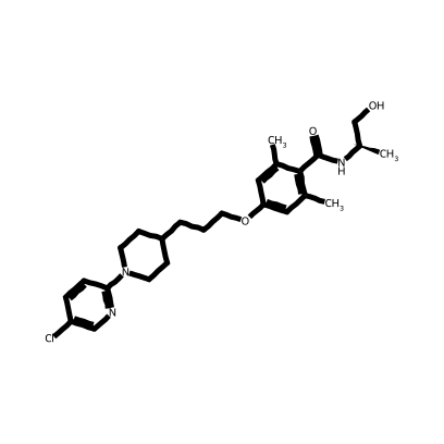 Cc1cc(OCCCC2CCN(c3ccc(Cl)cn3)CC2)cc(C)c1C(=O)N[C@H](C)CO